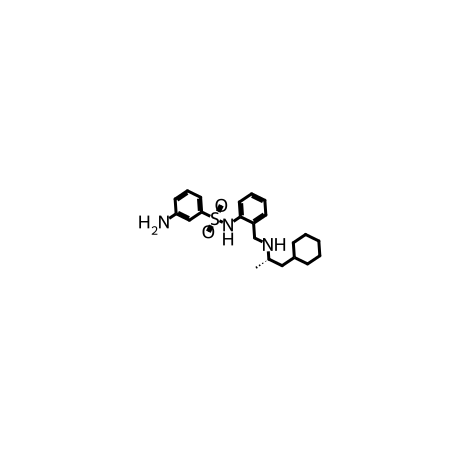 C[C@@H](CC1CCCCC1)NCc1ccccc1NS(=O)(=O)c1cccc(N)c1